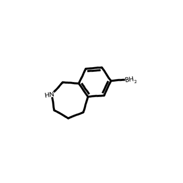 Bc1ccc2c(c1)CCCNC2